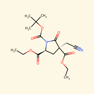 CCOC(=O)[C@@H]1C[C@](CC#N)(C(=O)OCC)C(=O)N1C(=O)OC(C)(C)C